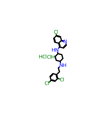 Cl.Cl.Clc1ccc(CCNC2CCC(Nc3ccnc4cc(Cl)ccc34)CC2)c(Cl)c1